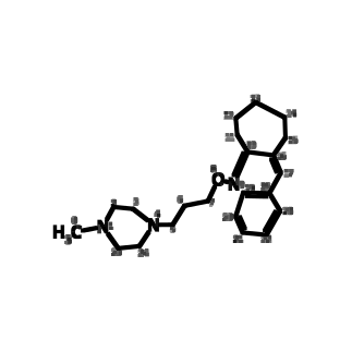 CN1CCN(CCCON=C2CCCCCC2=Cc2ccccc2)CC1